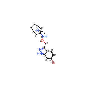 CN1C2CCC1CC(NOCc1n[nH]c3cc(Br)ccc13)C2